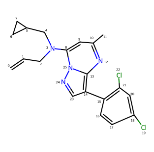 C=CCN(CC1CC1)c1cc(C)nc2c(-c3ccc(Cl)cc3Cl)cnn12